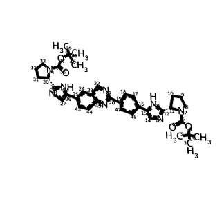 CC(C)(C)OC(=O)N1CCC[C@H]1c1ncc(-c2ccc(-c3ncc4cc(-c5cnc([C@@H]6CCCN6C(=O)OC(C)(C)C)[nH]5)ccc4n3)cc2)[nH]1